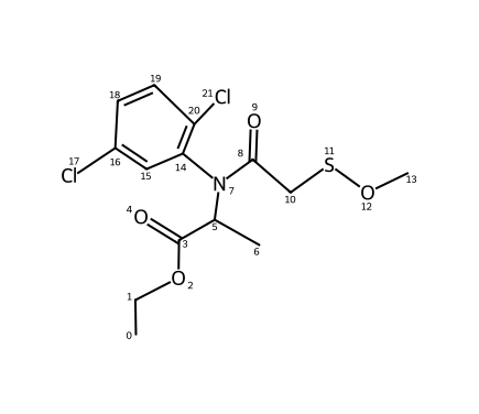 CCOC(=O)C(C)N(C(=O)CSOC)c1cc(Cl)ccc1Cl